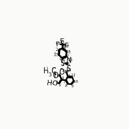 COC(=O)C(=CO)c1ccccc1CSc1nc2cc(C(F)(F)F)ccc2s1